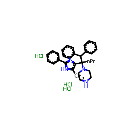 CCCC(c1nc(-c2ccccc2)[nH]c1C)(C(c1ccccc1)c1ccccc1)N1CCNCC1.Cl.Cl.Cl